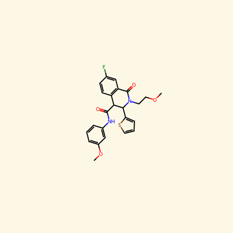 COCCN1C(=O)c2cc(F)ccc2C(C(=O)Nc2cccc(OC)c2)C1c1cccs1